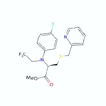 COC(=O)[C@H](CSCc1ccccn1)N(CC(F)(F)F)c1ccc(F)cc1